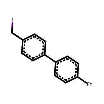 CCc1ccc(-c2ccc(CI)cc2)cc1